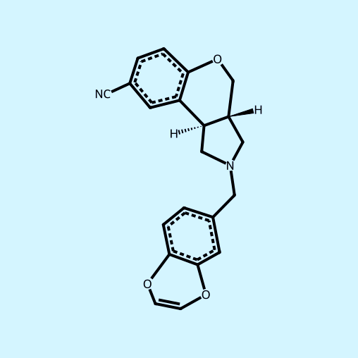 N#Cc1ccc2c(c1)[C@@H]1CN(Cc3ccc4c(c3)OC=CO4)C[C@H]1CO2